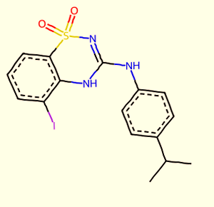 CC(C)c1ccc(NC2=NS(=O)(=O)c3cccc(I)c3N2)cc1